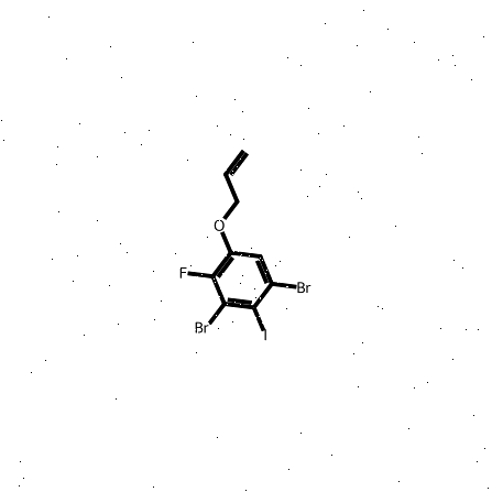 C=CCOc1cc(Br)c(I)c(Br)c1F